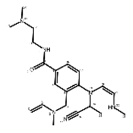 C=CN(C)Cc1cc(C(=O)NCCN(C)C)ccc1N(/C=C\NC)C(C)C#N